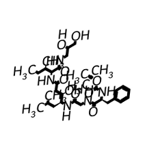 CC[C@H](C)[C@H](NC(=O)C[C@H](O)[C@H](CC(C)C)NC(=O)CNC(=O)[C@H](Cc1ccccc1)NC(=O)OC(C)(C)C)C(=O)NCC(O)CO